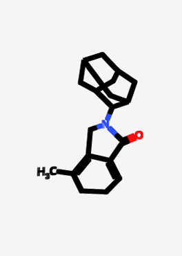 CC1=C2CN(C3C4CC5CC(C4)CC3C5)C(=O)C2=CCC1